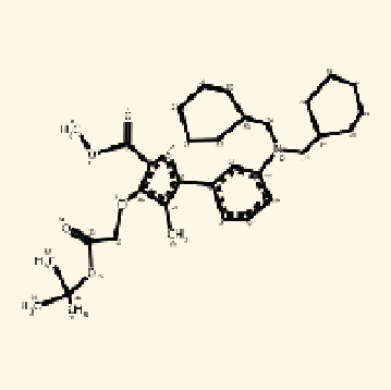 COC(=O)c1sc(-c2cccc(N(CC3CCCCC3)CC3CCCCC3)c2)c(C)c1OCC(=O)OC(C)(C)C